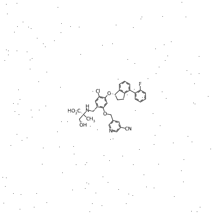 C[C@@](CO)(NCc1cc(Cl)c(O[C@H]2CCc3c(-c4ccccc4F)cccc32)cc1OCc1cncc(C#N)c1)C(=O)O